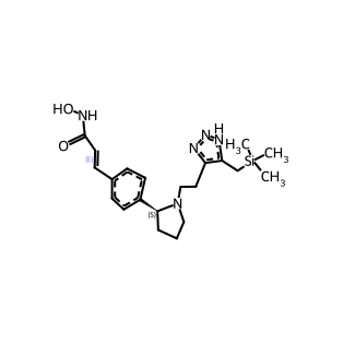 C[Si](C)(C)Cc1[nH]nnc1CCN1CCC[C@H]1c1ccc(/C=C/C(=O)NO)cc1